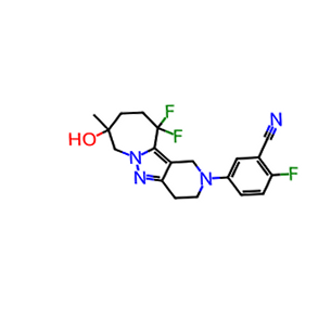 CC1(O)CCC(F)(F)c2c3c(nn2C1)CCN(c1ccc(F)c(C#N)c1)C3